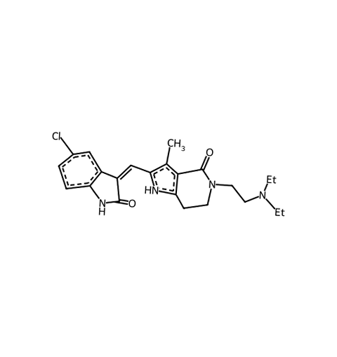 CCN(CC)CCN1CCc2[nH]c(/C=C3\C(=O)Nc4ccc(Cl)cc43)c(C)c2C1=O